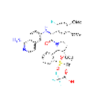 COc1cc(F)c([C@H](Nc2ccc3c(N)nccc3c2)C(=O)N2CCC(C(=O)O)C2c2ccccc2S(=O)(=O)C(C)C)cc1OC.O=C(O)C(F)(F)F